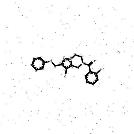 O=C(c1ccccc1F)N1CCn2nc(COc3ccccc3)c(I)c2C1